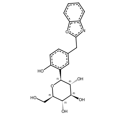 OC[C@H]1O[C@@H](c2cc(Cc3nc4ccccc4o3)ccc2O)[C@H](O)[C@@H](O)[C@@H]1O